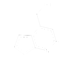 OCc1ccnc2sccc12